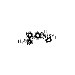 C=C1CCCC[C@H]1Nc1nc2ccc(Oc3ccncc3-c3ccnn3C)cc2s1